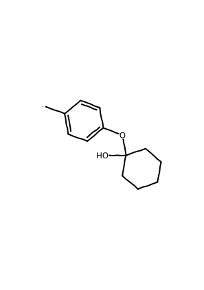 [CH2]c1ccc(OC2(O)CCCCC2)cc1